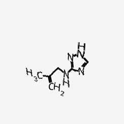 C=C(C)CNc1nc[nH]n1